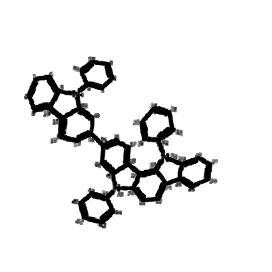 c1ccc(-n2c3ccccc3c3ccc(-c4ccc5c6c(ccc7c8ccccc8n(-c8ccccc8)c76)n(-c6ccccc6)c5c4)cc32)cc1